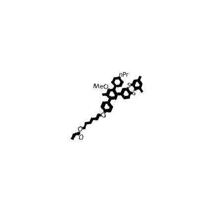 C=CC(=O)OCCCCCCOc1ccc(-c2cc(-c3ccc4c(c3)Sc3cc(C)cc(C)c3S4)c(C3CCC(CCC)CC3)c(OC)c2C)cc1